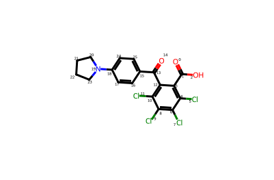 O=C(O)c1c(Cl)c(Cl)c(Cl)c(Cl)c1C(=O)c1ccc(N2CCCC2)cc1